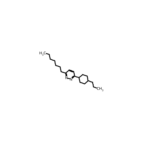 CCCCCCCc1ccc(C2CCC(CCC)CC2)nn1